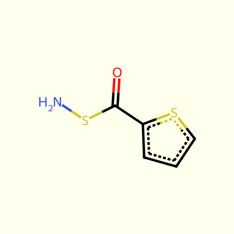 NSC(=O)c1cccs1